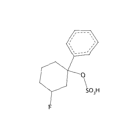 O=S(=O)(O)OC1(c2ccccc2)CCCC(F)C1